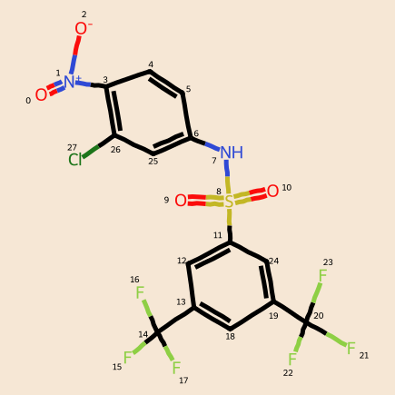 O=[N+]([O-])c1ccc(NS(=O)(=O)c2cc(C(F)(F)F)cc(C(F)(F)F)c2)cc1Cl